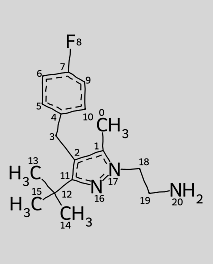 Cc1c(Cc2ccc(F)cc2)c(C(C)(C)C)nn1CCN